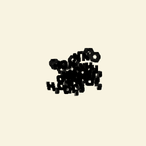 CC(C)c1nc(CN(C(=O)O)[C@H](C(=O)N[C@@H](Cc2ccccc2)[C@@H](O)CN2CCN(Cc3ccc4ccccc4n3)C[C@H]2C(=O)NC(C)(C)C)C(C)C)cs1